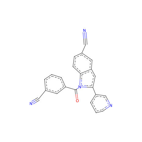 N#Cc1cccc(C(=O)n2c(-c3cccnc3)cc3cc(C#N)ccc32)c1